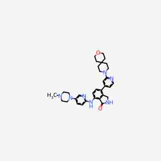 CN1CCN(c2ccc(Nc3ccc(-c4ccnc(N5CCC6(CCOCC6)CC5)c4)c4c3C(=O)NC4)nc2)CC1